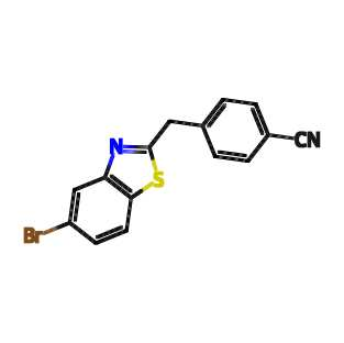 N#Cc1ccc(Cc2nc3cc(Br)ccc3s2)cc1